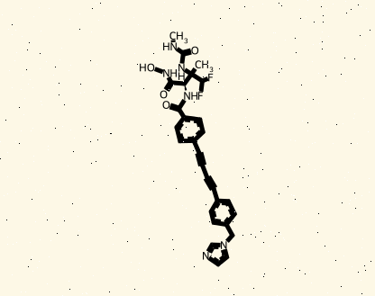 CNC(=O)NC(C)(C(F)F)[C@H](NC(=O)c1ccc(C#CC#Cc2ccc(Cn3ccnc3)cc2)cc1)C(=O)NO